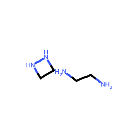 C1CNN1.NCCN